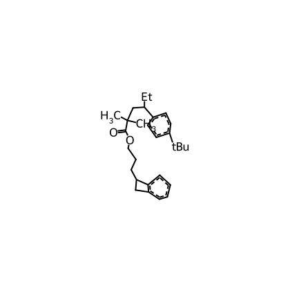 CCC(CC(C)(C)C(=O)OCCCC1Cc2ccccc21)c1ccc(C(C)(C)C)cc1